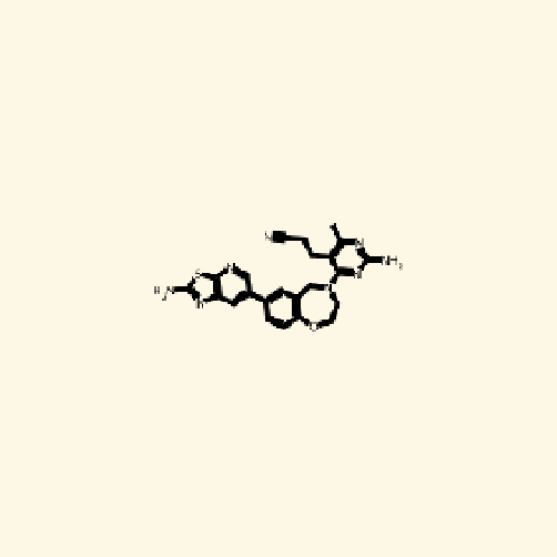 Cc1nc(N)nc(N2CCOc3ccc(-c4cnc5sc(N)nc5c4)cc3C2)c1CCC#N